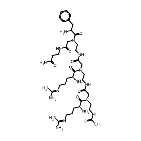 CC(=O)NCCN(CC(=O)NCCN(CC(=O)NCCN(CC(=O)NCCC(N)=O)C(=O)[C@@H](N)Cc1ccccc1)C(=O)[C@@H](N)CCCN=C(N)N)C(=O)[C@@H](N)CCCN=C(N)N